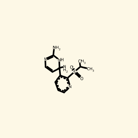 CC(C)S(=O)(=O)c1ncccc1C1(N)C=CN=C(N)N1